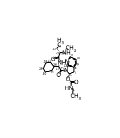 CCNC(=O)O[C@@H]1Cc2cccnc2N1C(=O)[C@@H](NC(=O)[C@H](CC)NC)C1CCCCC1